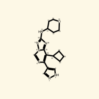 c1n[nH]cc1-c1ncn2nc(NC3CCOCC3)nc2c1C1CCC1